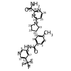 Cc1ccc(C(=O)Nc2cncc(C(F)(F)F)c2)cc1[C@@H]1CCN(c2ccnc(C(N)=O)n2)C1